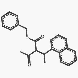 CC(=O)C(C(=O)OCc1ccccc1)C(C)c1cccc2ccccc12